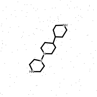 C1CC(C2CCN(N3CCNCC3)CC2)CCN1